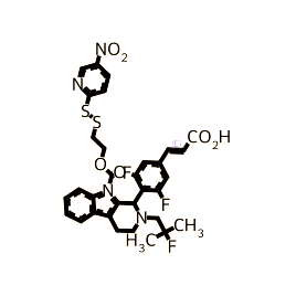 CC(C)(F)CN1CCc2c(n(C(=O)OCCSSc3ccc([N+](=O)[O-])cn3)c3ccccc23)C1c1c(F)cc(/C=C/C(=O)O)cc1F